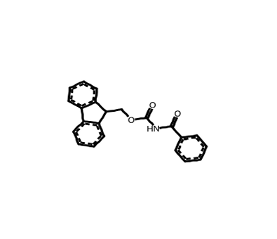 O=C(NC(=O)c1ccccc1)OCC1c2ccccc2-c2ccccc21